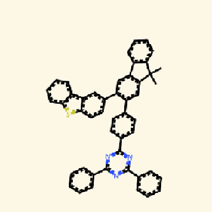 CC1(C)c2ccccc2-c2cc(-c3ccc4sc5ccccc5c4c3)c(-c3ccc(-c4nc(-c5ccccc5)nc(-c5ccccc5)n4)cc3)cc21